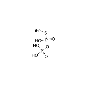 CC(C)SP(=O)(O)OP(=O)(O)O